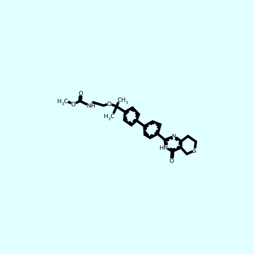 COC(=O)NCCOC(C)(C)c1ccc(-c2ccc(-c3nc4c(c(=O)[nH]3)CSCC4)cc2)cc1